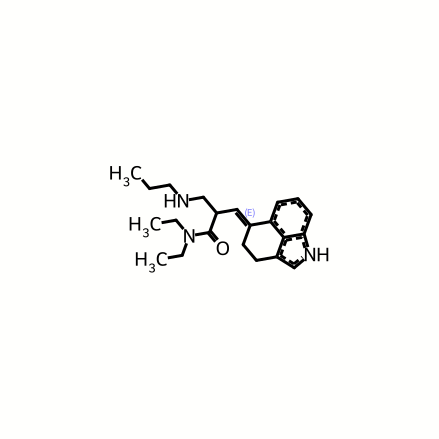 CCCNCC(/C=C1\CCc2c[nH]c3cccc1c23)C(=O)N(CC)CC